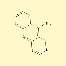 Nc1c2ccccc2nc2ncncc12